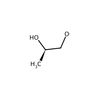 C[C@@H](O)C[O]